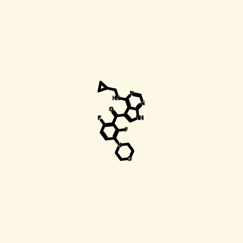 O=C(c1c(F)ccc(N2CCOCC2)c1F)c1c[nH]c2ncnc(NCC3CC3)c12